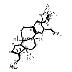 CCC1CC2=C(CC[C@@H]3[C@@H]2CC[C@]2(C)C(CO)CC[C@@H]32)CC1(OC)OC